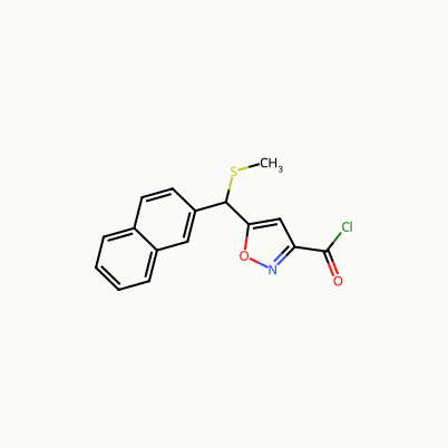 CSC(c1ccc2ccccc2c1)c1cc(C(=O)Cl)no1